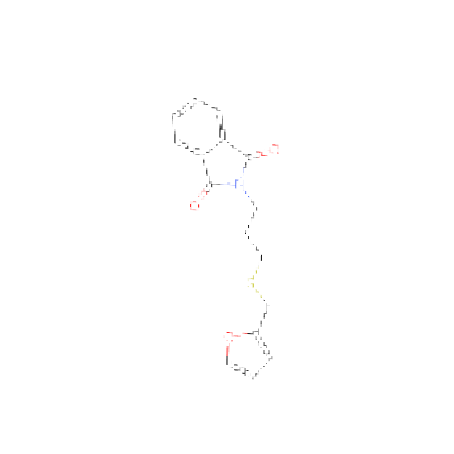 O=C1c2ccccc2C(=O)N1CCCSCc1ccco1